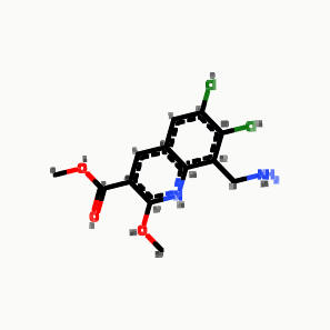 COC(=O)c1cc2cc(Cl)c(Cl)c(CN)c2nc1OC